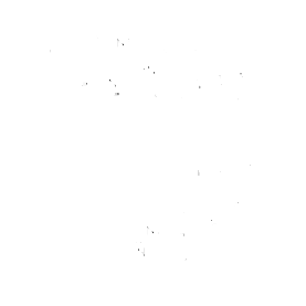 Clc1cnc(N2CCC(C3CC3CCOc3ccc(-c4cc[nH]n4)cc3)CC2)nc1